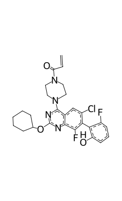 C=CC(=O)N1CCN(c2nc(OC3CCCCC3)nc3c(F)c(-c4c(O)cccc4F)c(Cl)cc23)CC1